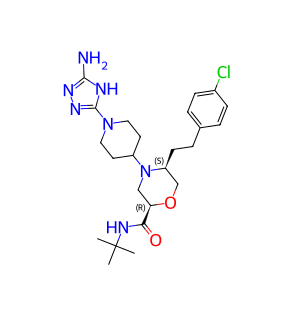 CC(C)(C)NC(=O)[C@H]1CN(C2CCN(c3nnc(N)[nH]3)CC2)[C@@H](CCc2ccc(Cl)cc2)CO1